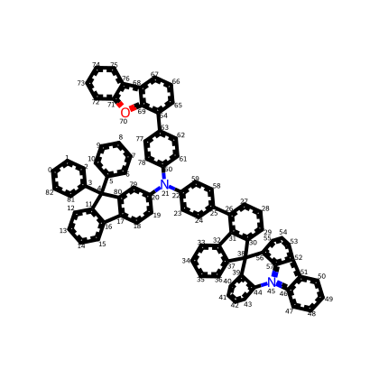 c1ccc(C2(c3ccccc3)c3ccccc3-c3ccc(N(c4ccc(-c5cccc6c5-c5ccccc5C65c6ccccc6-n6c7ccccc7c7cccc5c76)cc4)c4ccc(-c5cccc6c5oc5ccccc56)cc4)cc32)cc1